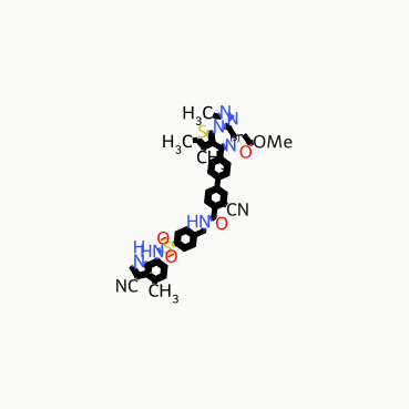 COC(=O)C[C@@H]1N=C(c2ccc(-c3ccc(C(=O)NCc4ccc(S(=O)(=O)Nc5ccc(C)c6c(C#N)c[nH]c56)cc4)c(C#N)c3)cc2)c2c(sc(C)c2C)-n2c(C)nnc21